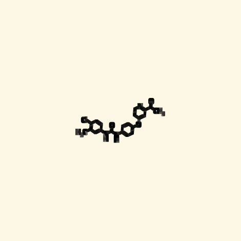 CC(=O)c1cc(Oc2ccc(NC(=O)Nc3ccc(Cl)c(C)c3)cc2)ccn1